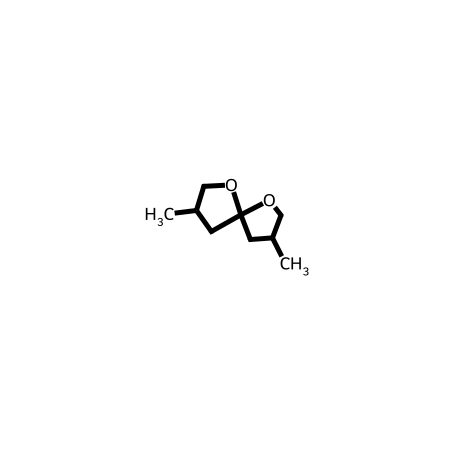 CC1COC2(C1)CC(C)CO2